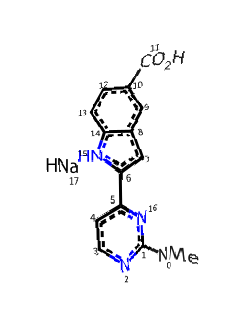 CNc1nccc(-c2cc3cc(C(=O)O)ccc3[nH]2)n1.[NaH]